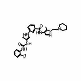 Cc1c(NC(=O)c2cccc(-n3cc(NC(=O)Nc4ccccc4Cl)cn3)c2)cnn1CCN1CCCCC1